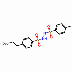 CCCCCCCCCCCCc1ccc(S(=O)(=O)N[N]S(=O)(=O)c2ccc(C)cc2)cc1